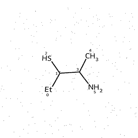 CC[C](S)C(C)N